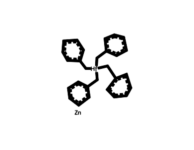 [Zn].c1ccc([CH2][Hf]([CH2]c2ccccc2)([CH2]c2ccccc2)[CH2]c2ccccc2)cc1